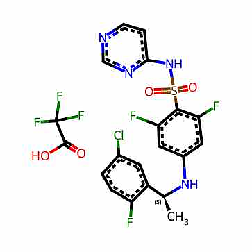 C[C@H](Nc1cc(F)c(S(=O)(=O)Nc2ccncn2)c(F)c1)c1cc(Cl)ccc1F.O=C(O)C(F)(F)F